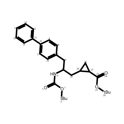 CC(C)(C)OC(=O)NC(Cc1ccc(-c2ccccc2)cc1)CC1CC1C(=O)OC(C)(C)C